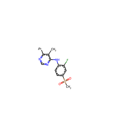 Cc1c(Nc2ccc(S(C)(=O)=O)cc2F)ncnc1C(C)C